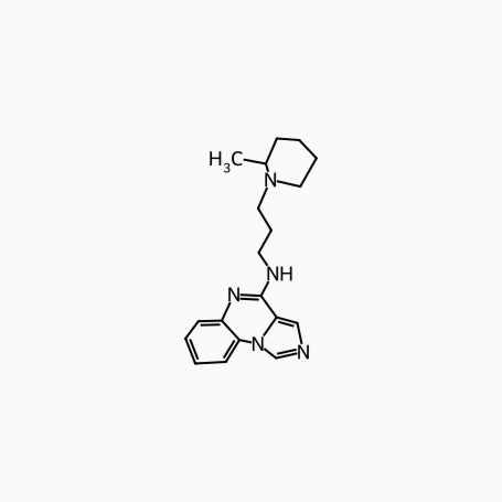 CC1CCCCN1CCCNc1nc2ccccc2n2cncc12